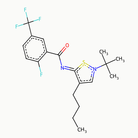 CCCCc1cn(C(C)(C)C)sc1=NC(=O)c1cc(C(F)(F)F)ccc1F